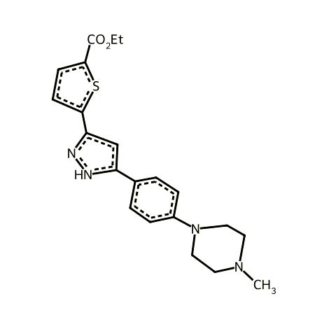 CCOC(=O)c1ccc(-c2cc(-c3ccc(N4CCN(C)CC4)cc3)[nH]n2)s1